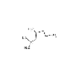 CCCC(C)C[C@H](C)N